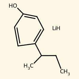 CCC(C)c1ccc(O)cc1.[LiH]